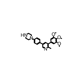 COc1cc(-c2cc(-c3ccc(N4CCNCC4)cc3)cnc2C)cc(OC)c1OC